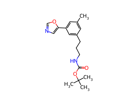 Cc1cc(CCCNC(=O)OC(C)(C)C)cc(-c2cnco2)c1